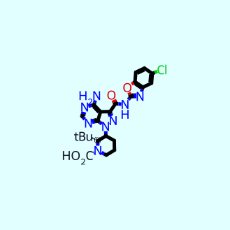 CC(C)(C)[C@@H]1C(n2nc(C(=O)Nc3nc4cc(Cl)ccc4o3)c3c(N)ncnc32)CCCN1C(=O)O